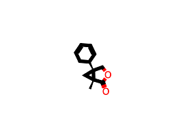 C[C@@]12C[C@]1(C1C=CC=CC1)COC2=O